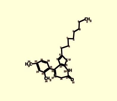 CCCCCCCCc1cc2c(s1)NC(=O)CN=C2c1ccc(C)cc1C